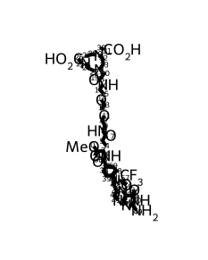 COC(=O)[C@H](CCC(=O)NCCOCCOCCNC(=O)CN1CCN(CC(=O)O)CCN(CC(=O)O)CC1)NC(=O)c1ccc(N(Cc2cnc3nc(N)[nH]c(=O)c3n2)C(=O)C(F)(F)F)cc1